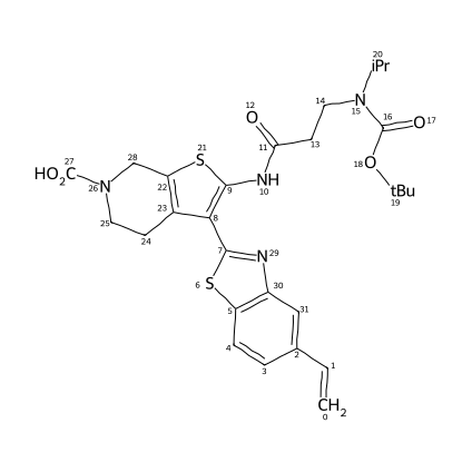 C=Cc1ccc2sc(-c3c(NC(=O)CCN(C(=O)OC(C)(C)C)C(C)C)sc4c3CCN(C(=O)O)C4)nc2c1